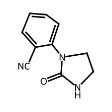 N#Cc1ccccc1N1CCNC1=O